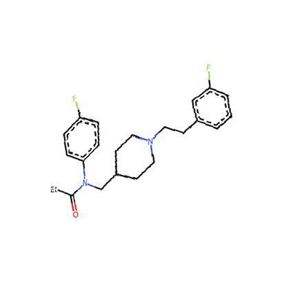 CCC(=O)N(CC1CCN(CCc2cccc(F)c2)CC1)c1ccc(F)cc1